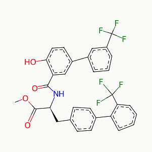 COC(=O)[C@H](Cc1ccc(-c2ccccc2C(F)(F)F)cc1)NC(=O)c1cc(-c2cccc(C(F)(F)F)c2)ccc1O